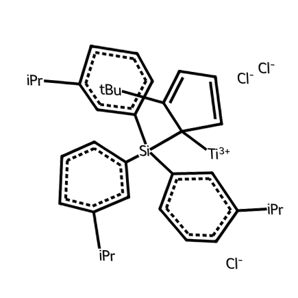 CC(C)c1cccc([Si](c2cccc(C(C)C)c2)(c2cccc(C(C)C)c2)[C]2([Ti+3])C=CC=C2C(C)(C)C)c1.[Cl-].[Cl-].[Cl-]